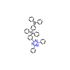 c1ccc(B(c2ccccc2)c2ccc([Si](c3ccccc3)(c3ccccc3)c3cccc(-c4nc(-c5ccccc5)nc(-c5ccccc5)n4)c3)cc2)cc1